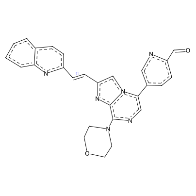 O=Cc1ccc(-c2cnc(N3CCOCC3)c3nc(/C=C/c4ccc5ccccc5n4)cn23)cn1